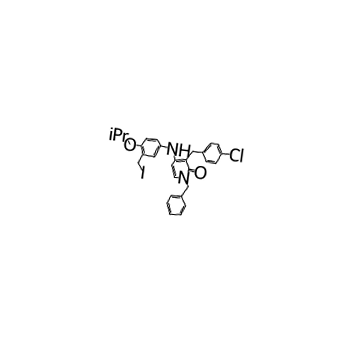 CC(C)Oc1ccc(Nc2ccn(Cc3ccccc3)c(=O)c2Cc2ccc(Cl)cc2)cc1CI